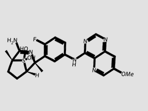 COc1cnc2c(Nc3ccc(F)c([C@@]4(C)N=C(N)[C@@]5(C)CC[C@@H]4S5(O)O)c3)ncnc2c1